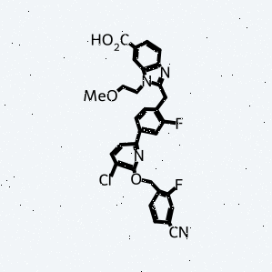 COCCn1c(Cc2ccc(-c3ccc(Cl)c(OCc4ccc(C#N)cc4F)n3)cc2F)nc2ccc(C(=O)O)cc21